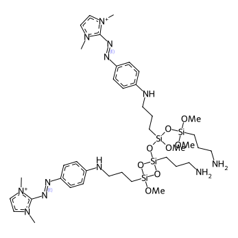 CO[Si](CCCN)(OC)O[Si](CCCNc1ccc(/N=N/c2n(C)cc[n+]2C)cc1)(OC)O[Si]1(CCCN)O[Si](CCCNc2ccc(/N=N/c3n(C)cc[n+]3C)cc2)(OC)O1